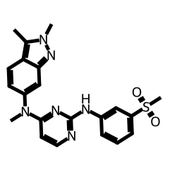 Cc1c2ccc(N(C)c3ccnc(Nc4cccc(S(C)(=O)=O)c4)n3)cc2nn1C